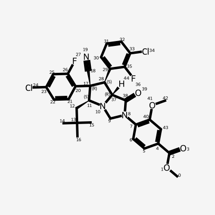 COC(=O)c1ccc(N2CN3[C@@H](CC(C)(C)C)[C@](C#N)(c4ccc(Cl)cc4F)[C@@H](c4cccc(Cl)c4F)[C@@H]3C2=O)c(OC)c1